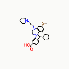 CSc1ccc2c(c1)N(CCCN1CCCCC1)CCn1c-2c(C2CCCCC2)c2ccc(C(=O)O)cc21